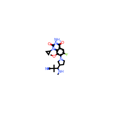 CNC(C1CCN(c2c(F)cc3c(=O)n(N)c(=O)n(C4CC4)c3c2OC)C1)C(C)(C)C#N